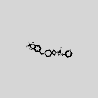 O=C(Nc1cccnc1)N1CC2(CCN(Cc3ccc4c(c3)OC(F)(F)O4)CC2)C1